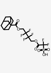 O=C(OCC(F)(F)C(F)(F)COC(=O)C(F)(F)S(=O)(=O)O)C12CC3CC(CC(C3)C1)C2